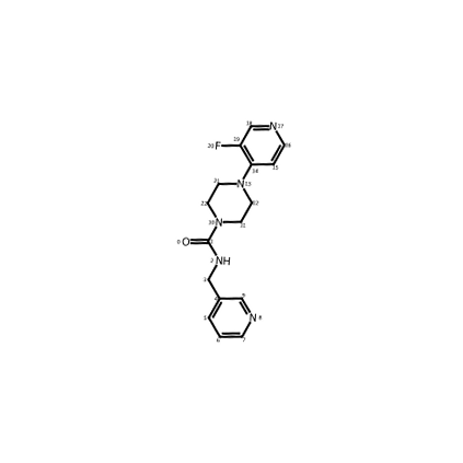 O=C(NCc1cccnc1)N1CCN(c2ccncc2F)CC1